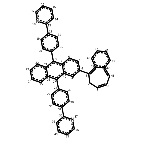 C1=CCC(c2ccc3c(-c4ccc(-c5ccccn5)cc4)c4ccccc4c(-c4ccc(-c5ccccn5)cc4)c3c2)=c2ccccc2=C1